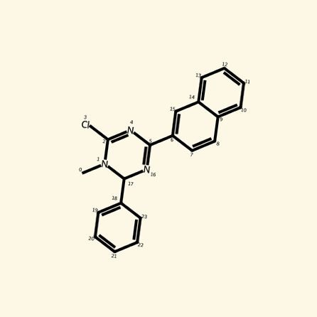 CN1C(Cl)=NC(c2ccc3ccccc3c2)=NC1c1ccccc1